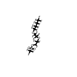 O=S(=O)(OC(F)C(F)(F)OC(F)(F)C(F)(F)OC(F)(F)C(F)(F)C(F)(F)C(F)(F)F)C(F)(F)F